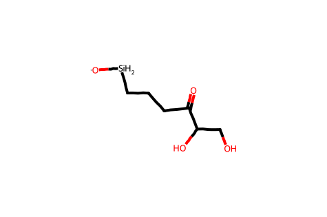 [O][SiH2]CCCC(=O)C(O)CO